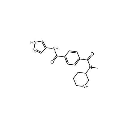 CN(C(=O)c1ccc(C(=O)Nc2cn[nH]c2)cc1)C1CCCNC1